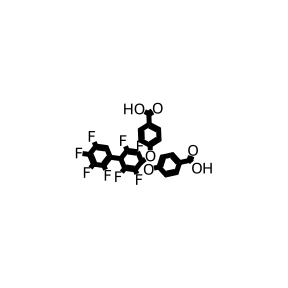 O=C(O)c1ccc(OC2(Oc3ccc(C(=O)O)cc3)C(F)=C(F)C(c3cc(F)c(F)c(F)c3F)C(F)=C2F)cc1